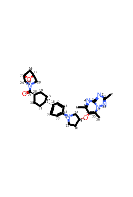 Cc1nc2nc(C)c(O[C@@H]3CCN(c4ccc([C@H]5CC[C@H](C(=O)N6CC7CC(C6)O7)CC5)cc4)C3)c(C)n2n1